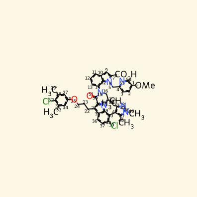 COc1ccc(Cn2c(C(=O)O)cc3cccc(N4C[C@@H](C)n5c(c(CCCOc6cc(C)c(Cl)c(C)c6)c6ccc(Cl)c(-c7c(C)nn(C)c7C)c65)C4=O)c32)nc1